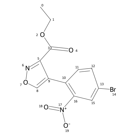 CCOC(=O)c1nocc1-c1ccc(Br)cc1[N+](=O)[O-]